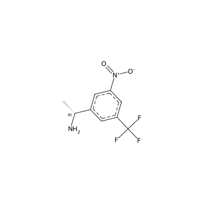 C[C@@H](N)c1cc([N+](=O)[O-])cc(C(F)(F)F)c1